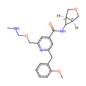 CNCOCc1cc(C(=O)NC2[C@H]3COC[C@@H]23)cc(Cc2ccccc2OC)n1